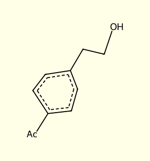 CC(=O)c1ccc(CCO)cc1